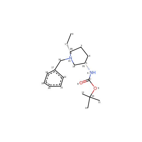 CC[C@@H]1CC[C@H](NC(=O)OC(C)(C)C)CN1Cc1ccccc1